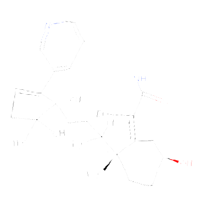 CC/C(C(N)=O)=C1/C[C@@H](O)CC[C@]1(C)C(C)(C)CC[C@]1(C)C(c2cccnc2)=CCC1(C)C